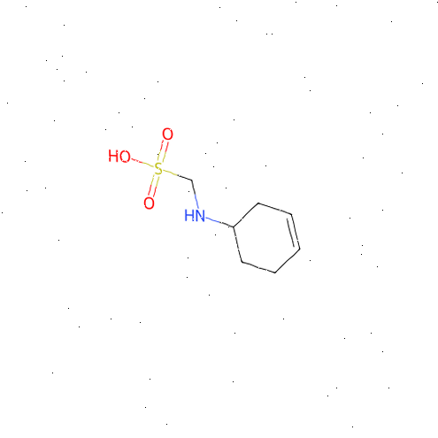 O=S(=O)(O)CNC1CC=CCC1